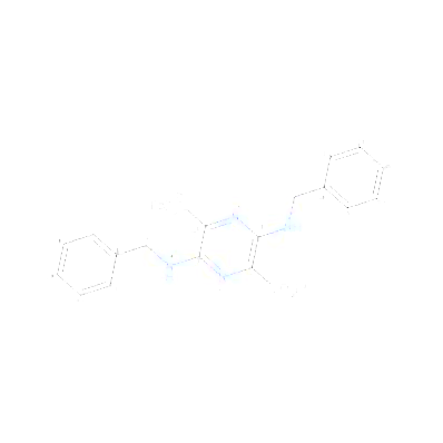 CCOC(=O)c1nc(NCc2ccccc2)c(C(=O)OCC)nc1NCc1ccccc1